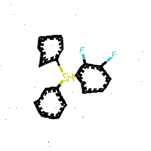 Fc1cccc([SH](c2ccccc2)c2ccccc2)c1F